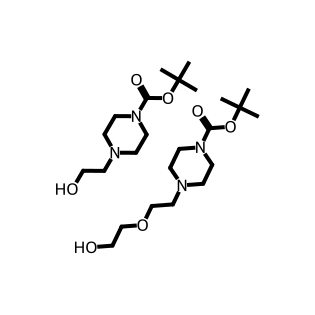 CC(C)(C)OC(=O)N1CCN(CCO)CC1.CC(C)(C)OC(=O)N1CCN(CCOCCO)CC1